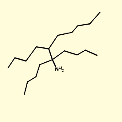 CCCCCC(CCCC)C(N)(CCCC)CCCC